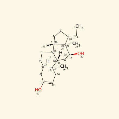 CC[C@H]1CC[C@H]2[C@@H]3CCC4CC(O)=CC[C@]4(C)[C@H]3C[C@H](O)[C@]12C